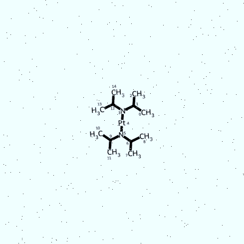 CC(C)[N]([Pt][N](C(C)C)C(C)C)C(C)C